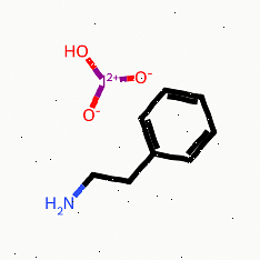 NCCc1ccccc1.[O-][I+2]([O-])O